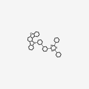 c1ccc(-c2nc(-c3ccccc3)nc(-c3cccc(-c4cccc(-n5c6ccccc6c6ccc7oc8ccccc8c7c65)c4)c3)n2)cc1